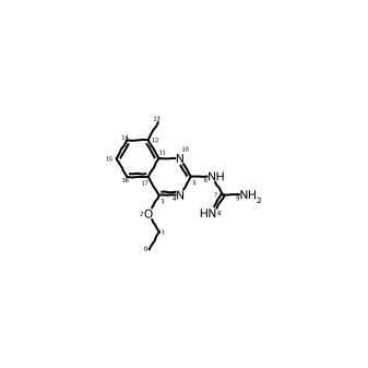 CCOc1nc(NC(=N)N)nc2c(C)cccc12